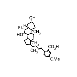 CC[C@H]1[C@@H](O)C2C3CC[C@H]([C@H](C)C/C=C/c4ccc(OC)cc4C(=O)O)[C@@]3(C)CCC2[C@@]2(C)CC[C@@H](O)C[C@@H]12